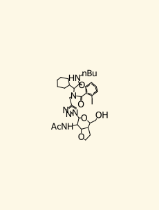 CCCCNC(=O)C(C1CCCCC1)N(Cc1cn(C2OC(CO)C3CCOC3C2NC(C)=O)nn1)C(=O)c1ccccc1I